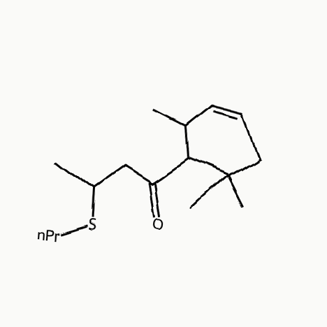 CCCSC(C)CC(=O)C1C(C)C=CCC1(C)C